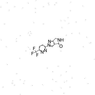 O=C1NCc2nn(-c3ccc(C(F)(F)F)nn3)cc21